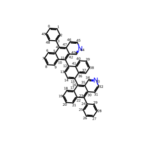 c1ccc(-c2c3ccccc3c(-c3ccc(-c4c5ccccc5c(-c5ccccc5)c5ccncc45)c4ccccc34)c3cnccc23)cc1